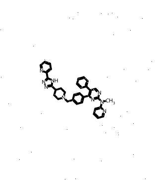 CN(c1ccccn1)c1ncc(-c2ccccc2)c(-c2ccc(CN3CCC(c4nnc(-c5ccccn5)[nH]4)CC3)cc2)n1